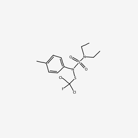 CCN(CC)S(=O)(=O)N(SC(F)(Cl)Cl)c1ccc(C)cc1